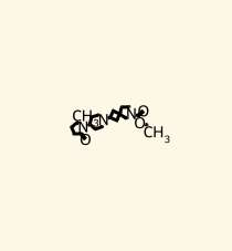 CCOC(=O)N1CCC2(CC(N3CCC(N4C(=O)CC[C@@H]4C)CC3)C2)C1